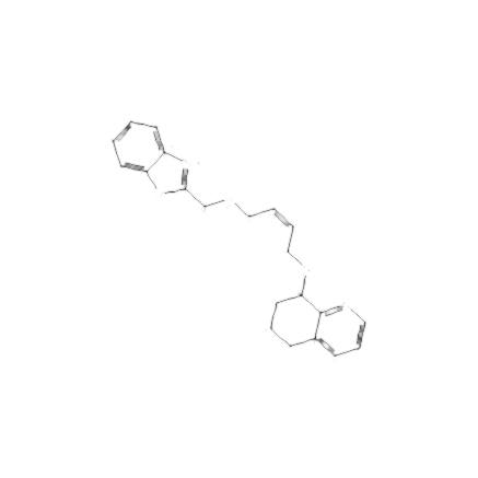 C(=C/CNC1CCCc2cccnc21)/CNCc1nc2ccccc2[nH]1